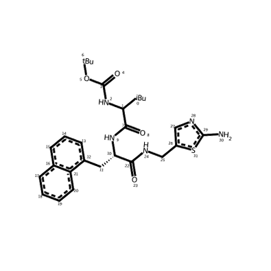 CCC(C)C(NC(=O)OC(C)(C)C)C(=O)N[C@@H](Cc1cccc2ccccc12)C(=O)NCc1cnc(N)s1